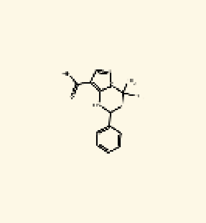 CC1(C)CC(c2ccccc2)Nc2c(C([NH])=O)cnn21